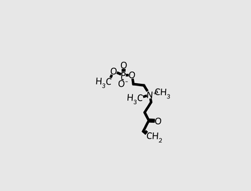 C=CC(=O)CC[N+](C)(C)CCOP(=O)([O-])OC